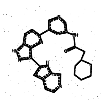 O=C(CC1CCCCC1)Nc1cncc(-c2ccc3[nH]nc(-c4cc5ccncc5[nH]4)c3n2)c1